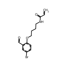 C=CC(=O)NCCCCOc1ccc(Br)cc1C=O